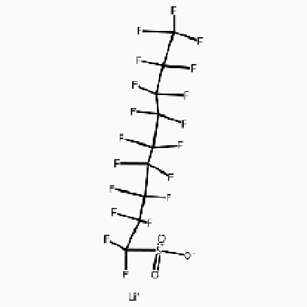 O=S(=O)([O-])C(F)(F)C(F)(F)C(F)(F)C(F)(F)C(F)(F)C(F)(F)C(F)(F)C(F)(F)C(F)(F)F.[Li+]